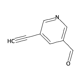 C#Cc1cncc(C=O)c1